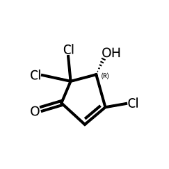 O=C1C=C(Cl)[C@@H](O)C1(Cl)Cl